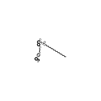 CCCCCCCCCCCCCCCCCCCOC(=O)OCn1c(=O)ccc2ccc(OCCCCN3CCN(c4cccc5sccc45)CC3)cc21